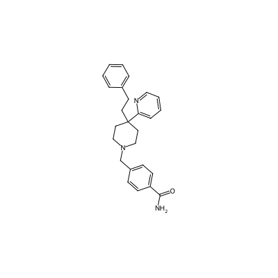 NC(=O)c1ccc(CN2CCC(CCc3ccccc3)(c3ccccn3)CC2)cc1